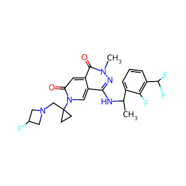 CC(Nc1nn(C)c(=O)c2cc(=O)n(C3(CN4CC(F)C4)CC3)cc12)c1cccc(C(F)F)c1F